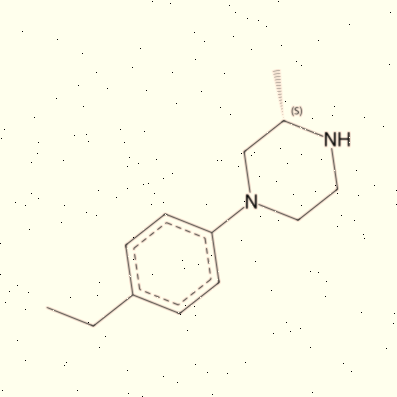 CCc1ccc(N2CCN[C@@H](C)C2)cc1